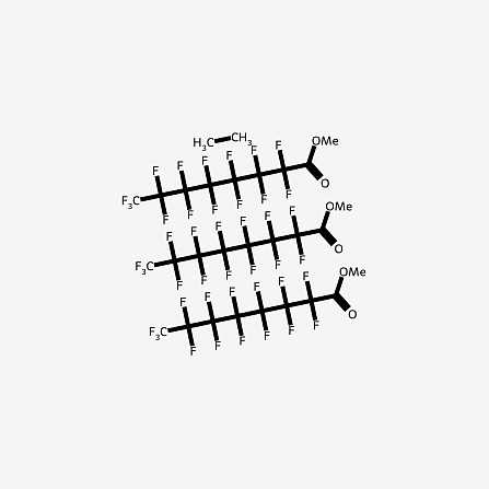 CC.COC(=O)C(F)(F)C(F)(F)C(F)(F)C(F)(F)C(F)(F)C(F)(F)C(F)(F)F.COC(=O)C(F)(F)C(F)(F)C(F)(F)C(F)(F)C(F)(F)C(F)(F)C(F)(F)F.COC(=O)C(F)(F)C(F)(F)C(F)(F)C(F)(F)C(F)(F)C(F)(F)C(F)(F)F